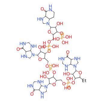 CCC1OC(N2CNC3C(=O)NCNC32)C(O)C1O[PH](O)(O)OCC1OC(N2CNC3C(=O)NCNC32)C(O)C1O[PH](O)(O)OCC1OC(N2CNC3C(=O)NCNC32)C(O)C1O[PH](O)(O)OCC1OC(N2CNC3C(=O)NCCC32)C(O)C1O[PH](O)(O)O